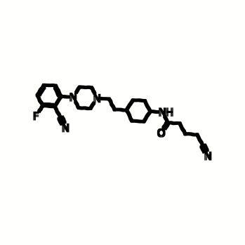 N#CCCCC(=O)NC1CCC(CCN2CCN(c3cccc(F)c3C#N)CC2)CC1